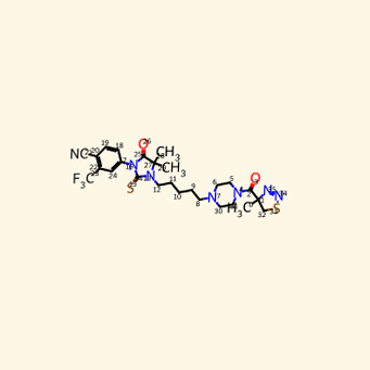 CC1(C(=O)N2CCN(CCCCCN3C(=S)N(c4ccc(C#N)c(C(F)(F)F)c4)C(=O)C3(C)C)CC2)CSN=N1